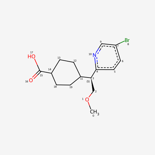 COC[C@H](c1ccc(Br)cn1)C1CCC(C(=O)O)CC1